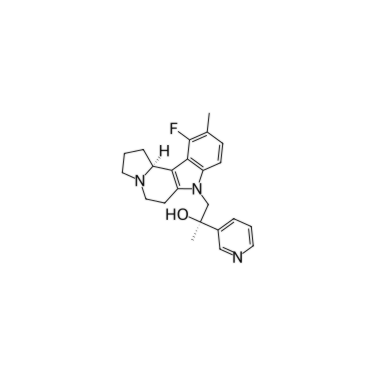 Cc1ccc2c(c1F)c1c(n2C[C@](C)(O)c2cccnc2)CCN2CCC[C@@H]12